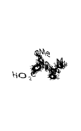 COCCN1C[C@@H](NC(=O)Nc2c(C)c(-c3cnn(C)c3)nn2-c2ccccc2)[C@H](c2ccc(C(=O)O)cc2)C1